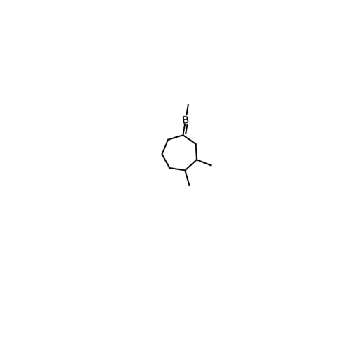 C/B=C1\CCCC(C)C(C)C1